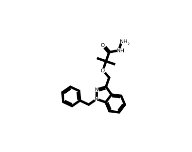 CC(C)(OCc1nn(Cc2ccccc2)c2ccccc12)C(=O)NN